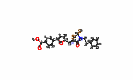 COC(=O)c1ccc(-c2ccc(/C=C3\SC(=S)N(CCc4ccccc4)C3=O)o2)cc1